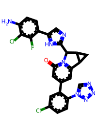 Nc1ccc(-c2cnc(C3C4CC4c4cc(-c5cc(Cl)ccc5-n5cnnn5)cc(=O)n43)[nH]2)c(F)c1Cl